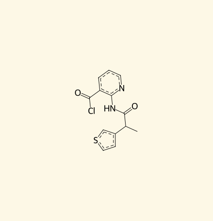 CC(C(=O)Nc1ncccc1C(=O)Cl)c1ccsc1